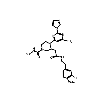 CCCNC(=O)N1CCN(c2cc(C)nc(-n3ccnc3)n2)C(CC(=O)NCCc2ccc(OC)c(Cl)c2)C1